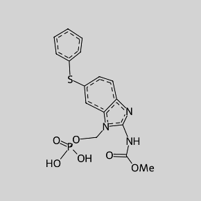 COC(=O)Nc1nc2ccc(Sc3ccccc3)cc2n1COP(=O)(O)O